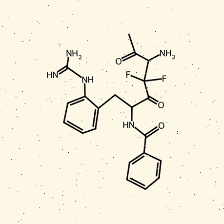 CC(=O)C(N)C(F)(F)C(=O)C(Cc1ccccc1NC(=N)N)NC(=O)c1ccccc1